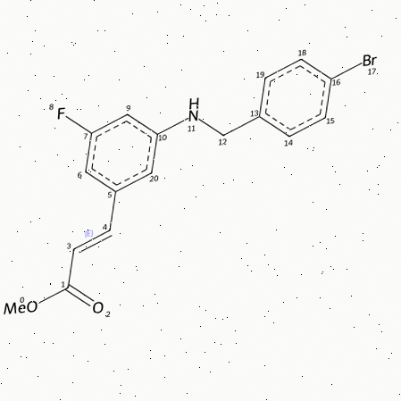 COC(=O)/C=C/c1cc(F)cc(NCc2ccc(Br)cc2)c1